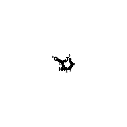 O=c1[nH]cc[te]1